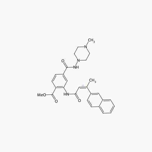 COC(=O)c1ccc(C(=O)NN2CCN(C)CC2)cc1NC(=O)/C=C(/C)c1ccc2ccccc2c1